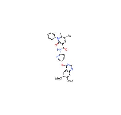 COc1cc2ncnc(Oc3ccc(NC(=O)c4cc(C(C)=O)c(C)n(-c5ccccc5)c4=O)nc3)c2cc1OC